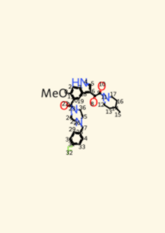 COc1cc2[nH]cc(C(=O)C(=O)N3CCC(C)CC3)c2cc1C(=O)N1CCN(Cc2ccc(F)cc2)CC1